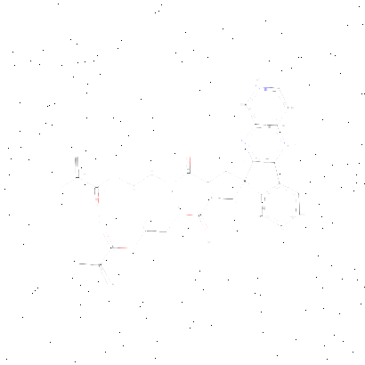 C=C(C)C(=O)OCCOC(=O)CCC1(CCC(=O)OCCOC(=O)C(=C)C)c2ccccc2-c2nc3ccncc3nc21